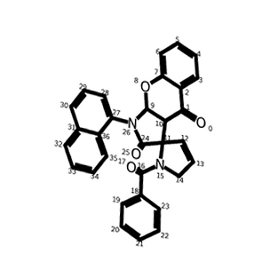 O=C1c2ccccc2OC2C1C1(C=CCN1C(=O)c1ccccc1)C(=O)N2c1cccc2ccccc12